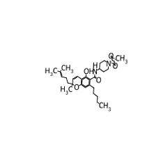 CCCCCc1cc2c(c(O)c1C(=O)NC1CCN(S(C)(=O)=O)CC1)C=CC(C)(CCC=C(C)C)O2